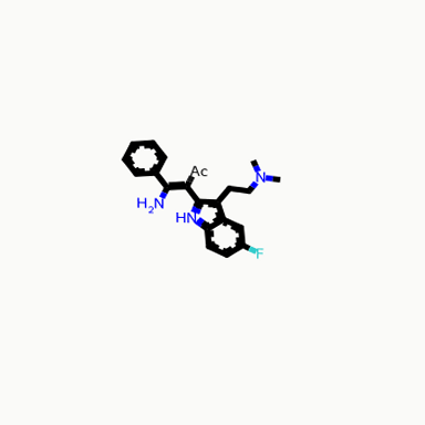 CC(=O)/C(=C(/N)c1ccccc1)c1[nH]c2ccc(F)cc2c1CCN(C)C